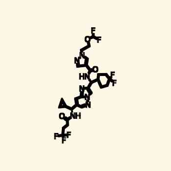 O=C(CCC(F)(F)F)N[C@@H](c1cnn2cc([C@@H](NC(=O)c3cnn(CCOC(F)F)c3)C3CCC(F)(F)CC3)nc2c1)C1CC1